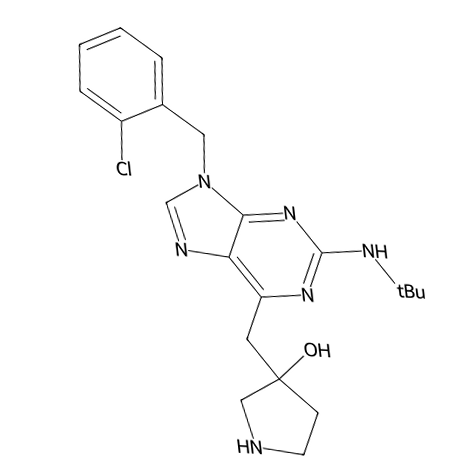 CC(C)(C)Nc1nc(CC2(O)CCNC2)c2ncn(Cc3ccccc3Cl)c2n1